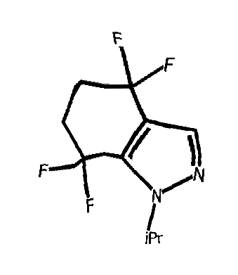 CC(C)n1ncc2c1C(F)(F)CCC2(F)F